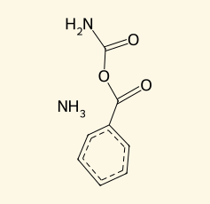 N.NC(=O)OC(=O)c1ccccc1